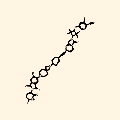 CC1(C)[C@H](Oc2ccc(C#N)c(Cl)c2)C(C)(C)[C@H]1N1Cc2nc(C#CC3CCC(N4CC5(CCN(c6cc7c(cc6F)C(=O)N(C6CCC(=O)NC6=O)C7=O)CC5)C4)CC3)ccc2C1=O